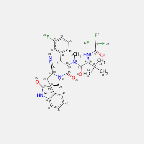 CN(C(=O)[C@@H](NC(=O)C(F)(F)F)C(C)(C)C)[C@@H](Cc1cccc(F)c1)C(=O)N1C[C@]2(C[C@H]1C#N)C(=O)Nc1ccccc12